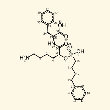 NCCCC[C@H](OP(=O)(O)CCCCc1ccccc1)C(=O)N[C@@H](Cc1ccccc1)C(=O)O